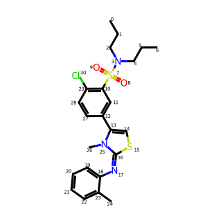 CCCN(CCC)S(=O)(=O)c1cc(-c2cs/c(=N/c3ccccc3C)n2C)ccc1Cl